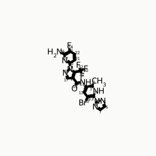 CC1NC(n2nccn2)=C(Br)C=C1NC(=O)c1cnn(-c2ccc(F)c(N)n2)c1C(F)(F)F